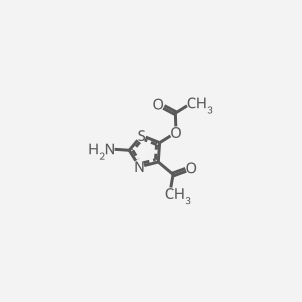 CC(=O)Oc1sc(N)nc1C(C)=O